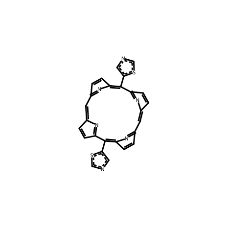 C1=CC2=NC1=CC1=NC(=C(c3cncs3)C3=NC(=CC4=NC(=C2c2cncs2)C=C4)C=C3)C=C1